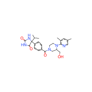 Cc1cnc(N2CCN(C(=O)c3ccc(C4(C(C)C)NC(=O)NC4=O)cc3)CC2CO)c(C)c1